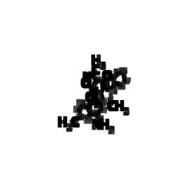 CC[C@@H](c1nc2onc(C)c2c(=O)n1Cc1ccccc1)N(CCCN)C(=O)c1ccc(C)cc1